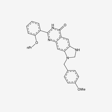 CCCOc1ccccc1-c1nc2cc3c(cc2c(=O)[nH]1)NCN3Cc1ccc(OC)cc1